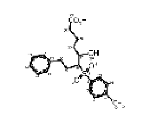 Cc1ccc(S(=O)(=O)C(CCc2ccccc2)C(O)CCCC(=O)O)cc1